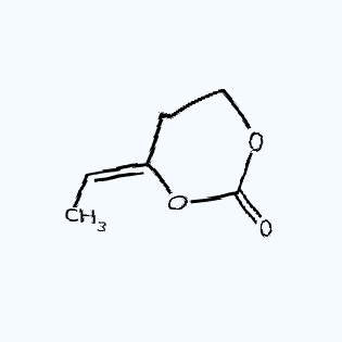 C/C=C1/CCOC(=O)O1